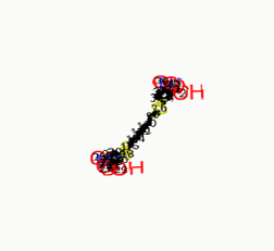 O=C(O)c1cc(SSCCCCCCCCCSSc2ccc([N+](=O)[O-])c(C(=O)O)c2)ccc1[N+](=O)[O-]